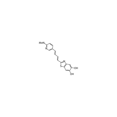 CNc1ccc(C=CC=Cc2nc3cc(O)c(O)cc3s2)cn1